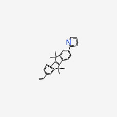 C=Cc1ccc2c(c1)C(C)(C)C1=C2C(C)(C)c2cc(-c3ccccn3)ccc21